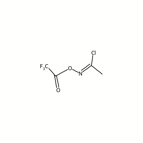 CC(Cl)=NOC(=O)C(F)(F)F